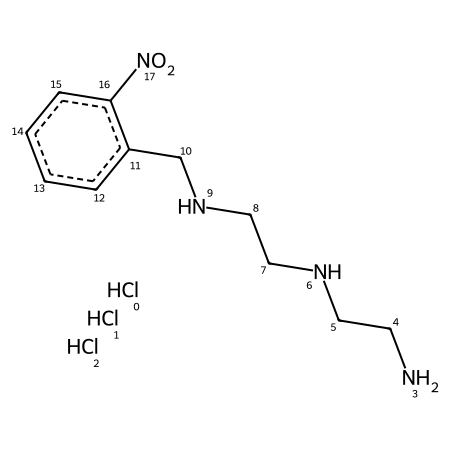 Cl.Cl.Cl.NCCNCCNCc1ccccc1[N+](=O)[O-]